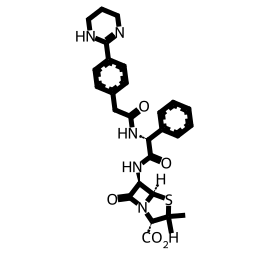 CC1(C)S[C@@H]2[C@H](NC(=O)[C@H](NC(=O)Cc3ccc(C4=NCCCN4)cc3)c3ccccc3)C(=O)N2[C@H]1C(=O)O